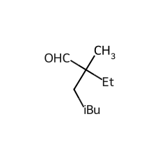 CCC(C)CC(C)(C=O)CC